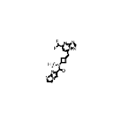 CN(C(=O)c1cn2ccsc2n1)C1CC(=Cc2cc(C(F)F)nc3ncnn23)C1